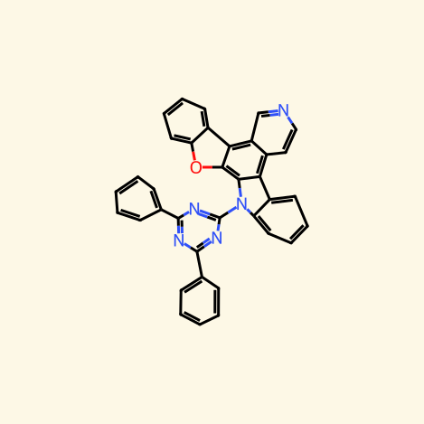 c1ccc(-c2nc(-c3ccccc3)nc(-n3c4ccccc4c4c5ccncc5c5c6ccccc6oc5c43)n2)cc1